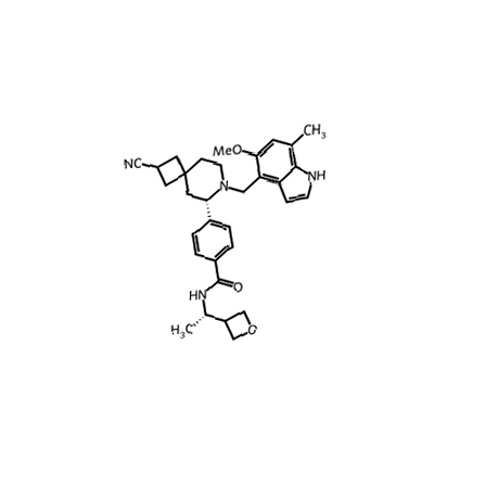 COc1cc(C)c2[nH]ccc2c1CN1CCC2(CC(C#N)C2)C[C@H]1c1ccc(C(=O)N[C@@H](C)C2COC2)cc1